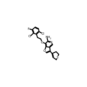 Nc1ncc2c(C3=CCSCC3)coc2c1OCCc1c(Cl)ccc(F)c1Cl